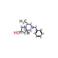 C[C@@H]1CN(Cc2ccccc2)C[C@@H]2CC(O)CN21